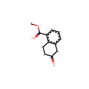 COC(=O)c1cccc2c1CCC(=O)C2